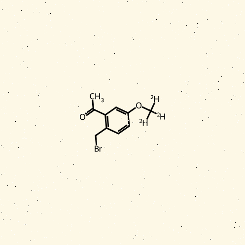 [2H]C([2H])([2H])Oc1ccc(CBr)c(C(C)=O)c1